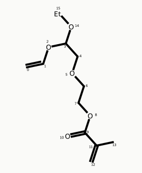 C=COC(COCCOC(=O)C(=C)C)OCC